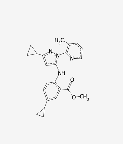 COC(=O)c1cc(C2CC2)ccc1Nc1cc(C2CC2)nn1-c1ncccc1C